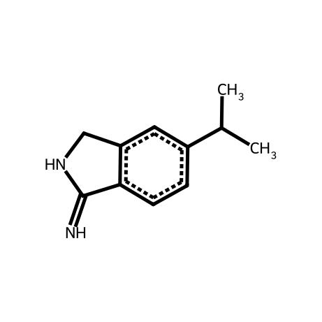 CC(C)c1ccc2c(c1)CNC2=N